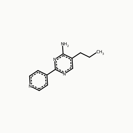 CCCc1cnc(-c2ccncc2)nc1N